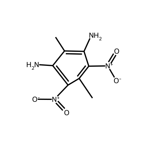 Cc1c(N)c([N+](=O)[O-])c(C)c([N+](=O)[O-])c1N